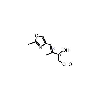 C/C(=C\c1coc(C)n1)[C@@H](O)CC=O